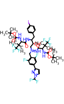 CC(C)(C)OC(=O)NC(C(=O)NC(Cc1ccc(I)cc1)C(O)CN(Cc1c(F)cc(-c2ccn(C(F)F)n2)cc1F)NC(=O)C(NC(=O)OC(C)(C)C)C(C)(C)C(F)(F)F)C(C)(C)C(F)(F)F